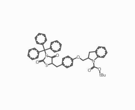 CC(C)(C)OC(=O)N1c2ccccc2CC1COc1ccc(CC2SC(=O)N(C(c3ccccc3)(c3ccccc3)c3ccccc3)C2=O)cc1